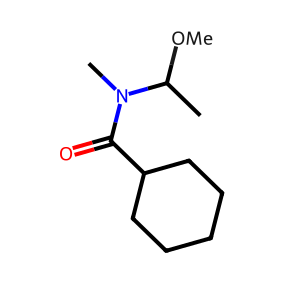 COC(C)N(C)C(=O)C1CCCCC1